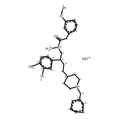 CC(C)Oc1cccc(CC(=O)N(C)CC(CCC2CCN(Cc3ccccc3)CC2)c2ccc(Cl)c(Cl)c2)c1.Cl